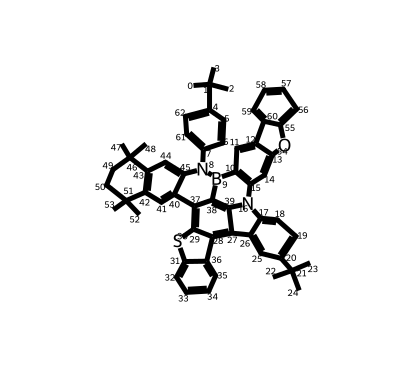 CC(C)(C)c1ccc(N2B3c4cc5c(cc4-n4c6ccc(C(C)(C)C)cc6c6c7c(sc8ccccc87)c(c3c64)-c3cc4c(cc32)C(C)(C)CCC4(C)C)oc2ccccc25)cc1